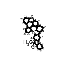 CC1(C)c2ccccc2-c2cc3c4ccccc4n(-c4cccc5c6cccc7sc8cccc(c45)c8c76)c3cc21